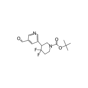 CC(C)(C)OC(=O)N1CCC(F)(F)C(c2cncc(C=O)c2)C1